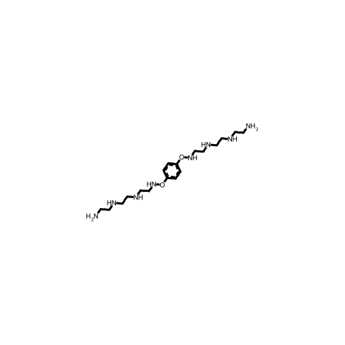 NCCNCCNCCNOc1ccc(ONCCNCCNCCN)cc1